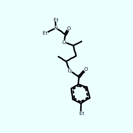 CCc1ccc(C(=O)OC(C)CC(C)OC(=O)N(CC)CC)cc1